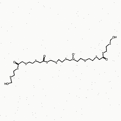 O=C(CSCCSCC[S+]([O-])CSCCSCSC(=O)CSCCSCC(=O)SCCSCO)SCCSCO